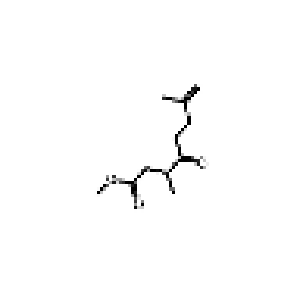 C=C(C)CCC(=O)C(C)CC(=O)OC